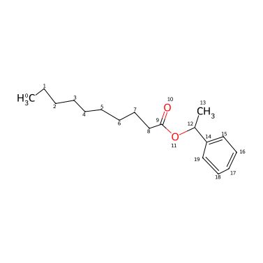 CCCCCCCCCC(=O)OC(C)c1ccccc1